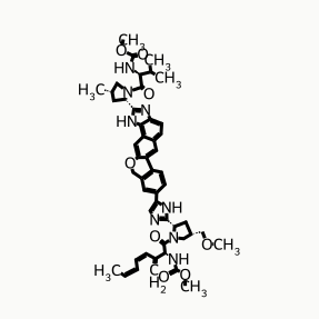 C=C(/C=C\C=C/C)[C@@H](NC(=O)OC)C(=O)N1C[C@@H](COC)C[C@H]1c1ncc(-c2ccc3c(c2)COc2cc4c(ccc5nc([C@@H]6C[C@H](C)CN6C(=O)[C@@H](NC(=O)OC)C(C)C)[nH]c54)cc2-3)[nH]1